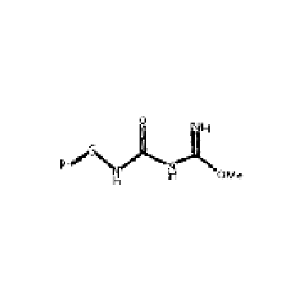 COC(=N)NC(=O)NSC(C)C